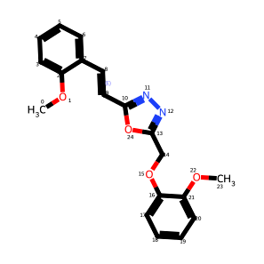 COc1ccccc1/C=C/c1nnc(COc2ccccc2OC)o1